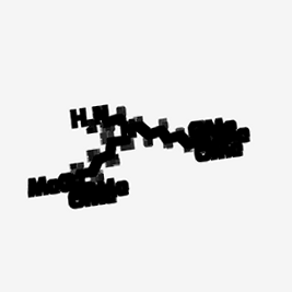 CO[Si](CCCCCCN(CCN)CCCCCC[Si](OC)(OC)OC)(OC)OC